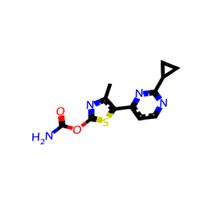 Cc1nc(OC(N)=O)sc1-c1ccnc(C2CC2)n1